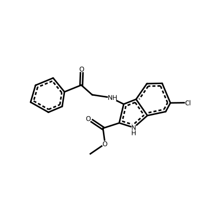 COC(=O)c1[nH]c2cc(Cl)ccc2c1NCC(=O)c1ccccc1